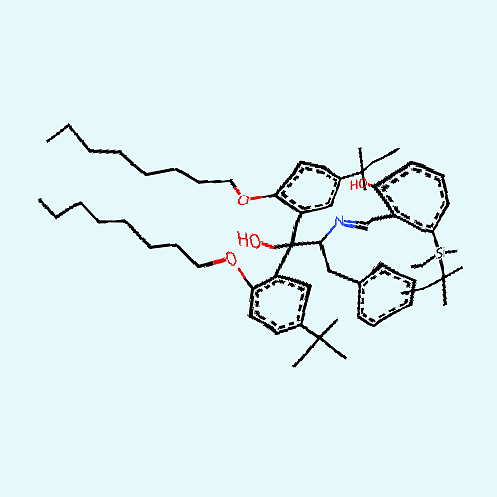 CCCCCCCCOc1ccc(C(C)(C)C)cc1C(O)(c1cc(C(C)(C)C)ccc1OCCCCCCCC)C(Cc1ccccc1)N=Cc1c(O)cccc1[Si](C)(C)C(C)(C)C